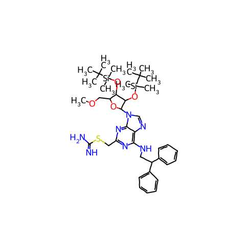 COCC1OC(n2cnc3c(NCC(c4ccccc4)c4ccccc4)nc(CSC(=N)N)nc32)C(O[Si](C)(C)C(C)(C)C)C1O[Si](C)(C)C(C)(C)C